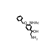 CC(=O)Nc1cc([C@@H](O)CN)ccc1OCc1ccccc1